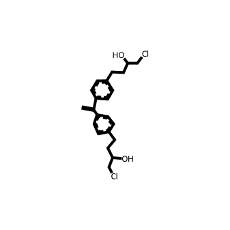 C=C(c1ccc(CCC(O)CCl)cc1)c1ccc(CCC(O)CCl)cc1